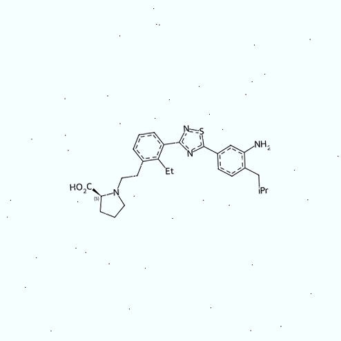 CCc1c(CCN2CCC[C@H]2C(=O)O)cccc1-c1nsc(-c2ccc(CC(C)C)c(N)c2)n1